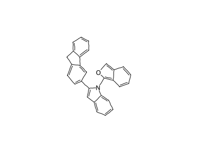 c1ccc2c(c1)Cc1ccc(-c3cc4ccccc4n3-c3occ4ccccc34)cc1-2